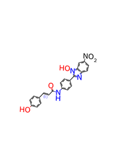 O=C(/C=C/c1ccc(O)cc1)Nc1ccc(-c2nc3ccc([N+](=O)[O-])cc3n2O)cc1